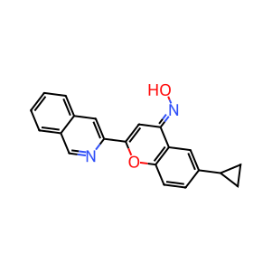 ON=c1cc(-c2cc3ccccc3cn2)oc2ccc(C3CC3)cc12